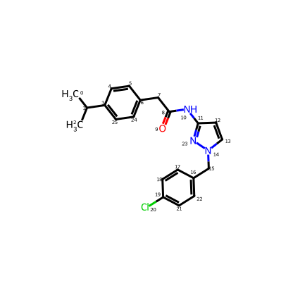 CC(C)c1ccc(CC(=O)Nc2ccn(Cc3ccc(Cl)cc3)n2)cc1